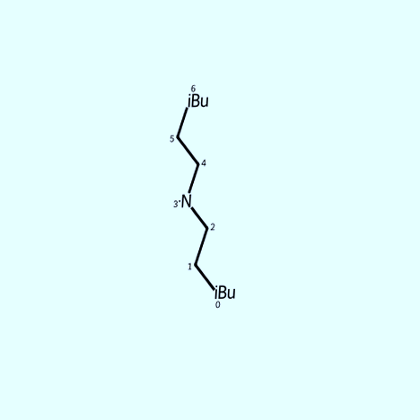 CCC(C)CC[N]CCC(C)CC